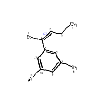 CC/C(=C/CO)c1cc(C(C)C)cc(C(C)C)c1